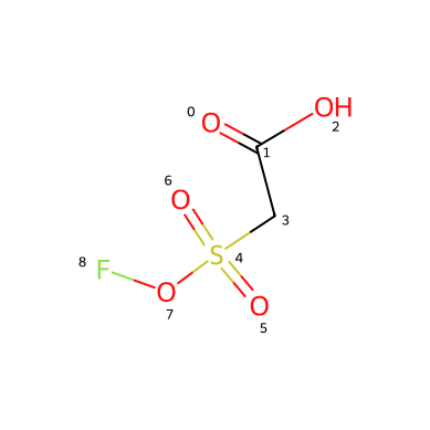 O=C(O)CS(=O)(=O)OF